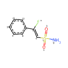 NS(=O)(=O)C=C(F)c1ccccc1